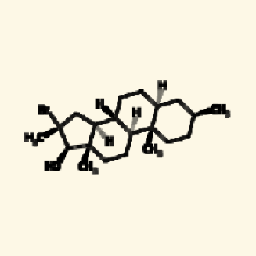 C[C@H]1CC[C@@]2(C)[C@@H](CC[C@@H]3[C@@H]2CC[C@]2(C)[C@@H](O)[C@](C)(Br)C[C@@H]32)C1